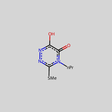 [CH2]Sc1nnc(O)c(=O)n1CCC